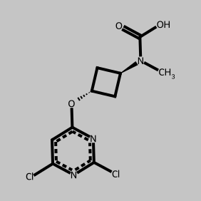 CN(C(=O)O)[C@H]1C[C@H](Oc2cc(Cl)nc(Cl)n2)C1